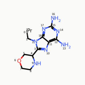 CC(C)Cn1c(C2COCCN2)nc2c(N)nc(N)nc21